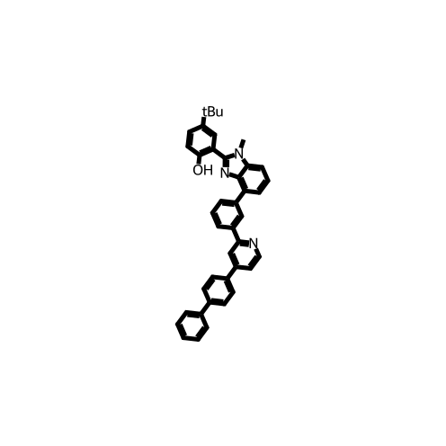 Cn1c(-c2cc(C(C)(C)C)ccc2O)nc2c(-c3cccc(-c4cc(-c5ccc(-c6ccccc6)cc5)ccn4)c3)cccc21